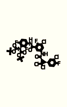 CC(C)(C)OC(=O)N(C(=O)OC(C)(C)C)c1c(F)ccc(NC(=O)c2cc(NC(=O)[C@H]3[C@H](c4ccc(F)c(Cl)c4)C3(Cl)Cl)cc(Cl)c2F)c1F